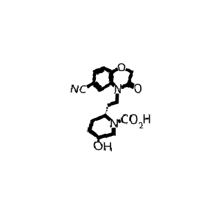 N#Cc1ccc2c(c1)N(CC[C@H]1CC[C@@H](O)CN1C(=O)O)C(=O)CO2